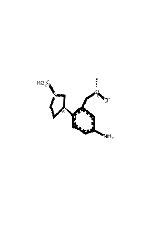 C[S@+]([O-])Cc1cc(N)ccc1[C@H]1CCN(C(=O)O)C1